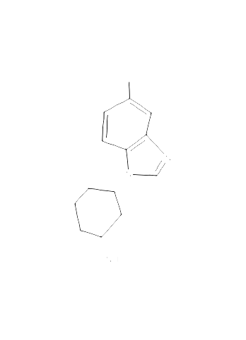 N[C@@H]1CCC[C@H](n2cnc3cc(Br)ccc32)C1